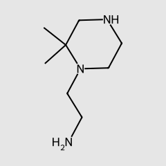 CC1(C)CNCCN1CCN